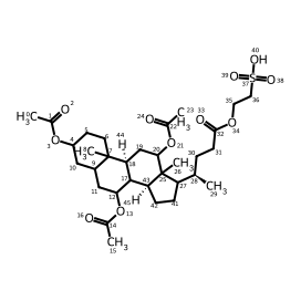 CC(=O)OC1CCC2(C)C(C1)CC(OC(C)=O)C1[C@@H]2CC(OC(C)=O)C2(C)C([C@H](C)CCC(=O)OCCS(=O)(=O)O)CC[C@@H]12